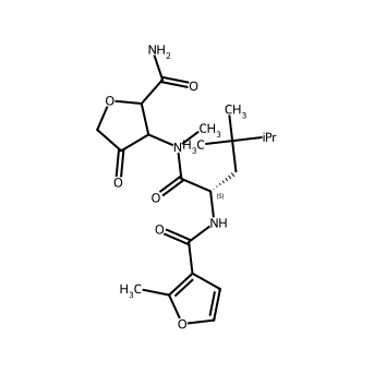 Cc1occc1C(=O)N[C@@H](CC(C)(C)C(C)C)C(=O)N(C)C1C(=O)COC1C(N)=O